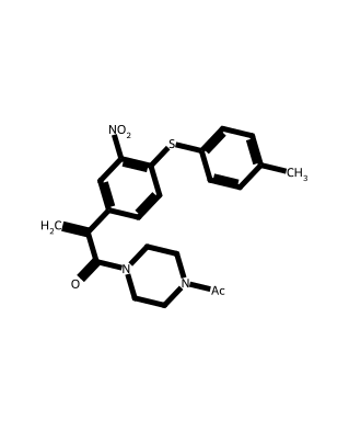 C=C(C(=O)N1CCN(C(C)=O)CC1)c1ccc(Sc2ccc(C)cc2)c([N+](=O)[O-])c1